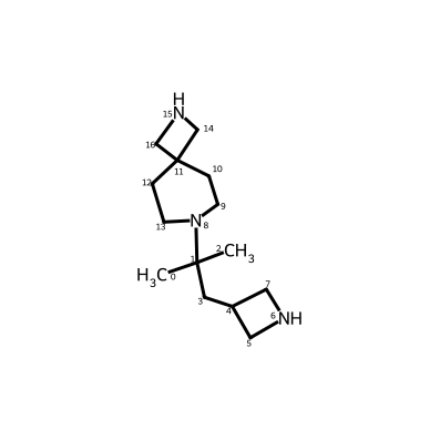 CC(C)(CC1CNC1)N1CCC2(CC1)CNC2